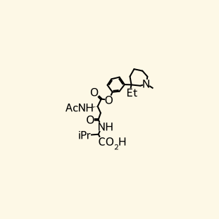 CCC1(c2cccc(OC(=O)[C@H](CC(=O)NC(C(=O)O)C(C)C)NC(C)=O)c2)CCCCN(C)C1